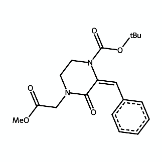 COC(=O)CN1CCN(C(=O)OC(C)(C)C)C(=Cc2ccccc2)C1=O